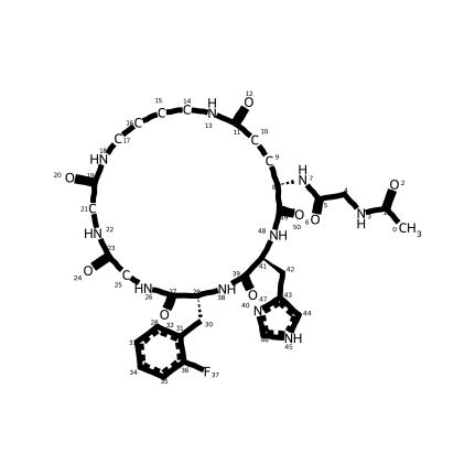 CC(=O)NCC(=O)N[C@H]1CCC(=O)NCCCCNC(=O)CNC(=O)CNC(=O)[C@@H](Cc2ccccc2F)NC(=O)[C@H](Cc2c[nH]cn2)NC1=O